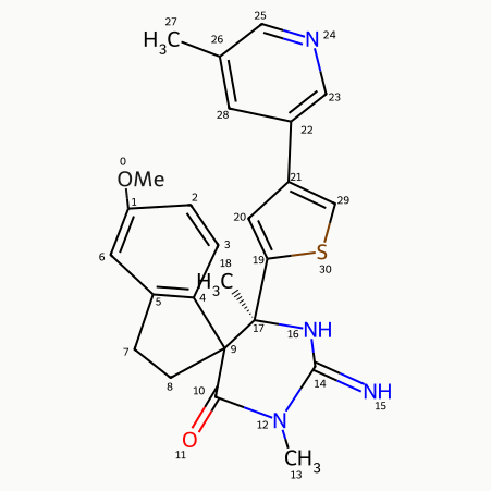 COc1ccc2c(c1)CCC21C(=O)N(C)C(=N)N[C@]1(C)c1cc(-c2cncc(C)c2)cs1